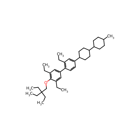 CCc1cc(C2CCC(C3CCC(C)CC3)CC2)ccc1-c1cc(CC)c(OCC(CC)(CC)CC)c(CC)c1